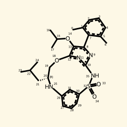 Cc1cccc(C)c1-c1nc2nc(c1OC(C)C)OC[C@@H](CC(C)C)Nc1cccc(c1)S(=O)(=O)N2